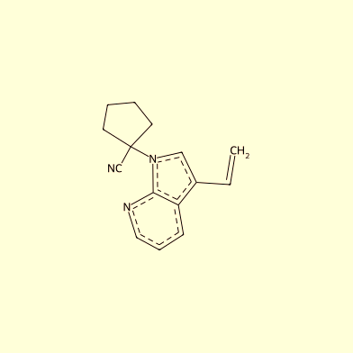 C=Cc1cn(C2(C#N)CCCC2)c2ncccc12